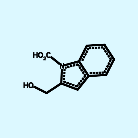 O=C(O)n1c(CO)cc2ccccc21